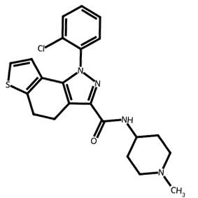 CN1CCC(NC(=O)c2nn(-c3ccccc3Cl)c3c2CCc2sccc2-3)CC1